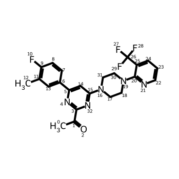 CC(=O)c1nc(-c2ccc(F)c(C)c2)cc(N2CCN(c3ncccc3C(F)(F)F)CC2)n1